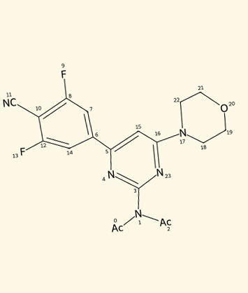 CC(=O)N(C(C)=O)c1nc(-c2cc(F)c(C#N)c(F)c2)cc(N2CCOCC2)n1